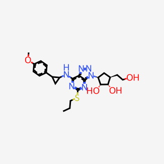 CCCSc1nc(NC2CC2c2ccc(OC)cc2)c2nnn([C@H]3C[C@@H](CCO)[C@H](O)[C@@H]3O)c2n1